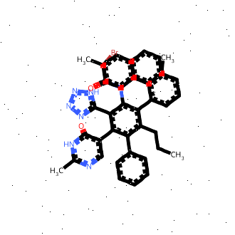 CCCc1c(-c2ccccc2)c(-c2cnc(C)[nH]c2=O)c(-c2nnn[nH]2)c(N(C(=O)C(C)Br)c2ccccc2)c1-c1cccc(C)c1-c1ccccc1